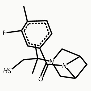 Cc1ccc(C(=O)N2C3CC2CN(C(C)(C)CS)C3)cc1F